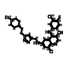 CCN1CCC(CCn2cc(CNc3cc(Cl)c4ncc(C#N)c(Nc5ccc(F)c(Cl)c5)c4c3)nn2)CC1